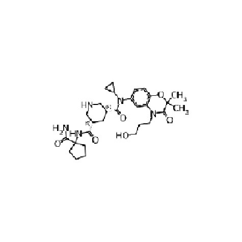 CC1(C)Oc2ccc(N(C(=O)[C@H]3CNC[C@@H](C(=O)NC4(C(N)=O)CCCC4)C3)C3CC3)cc2N(CCCO)C1=O